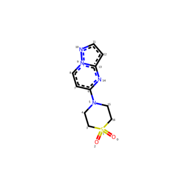 O=S1(=O)CCN(c2ccn3nccc3n2)CC1